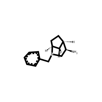 N[C@H]1CN(Cc2ccccc2)[C@H]2CC[C@@H]1[C@@H]2F